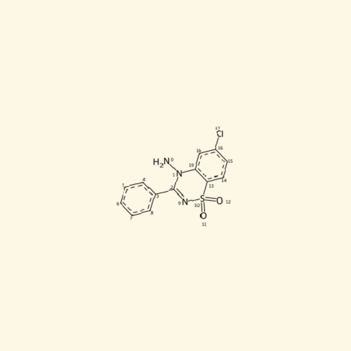 NN1C(c2ccccc2)=NS(=O)(=O)c2ccc(Cl)cc21